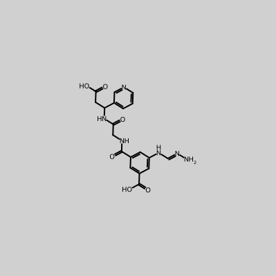 NN=CNc1cc(C(=O)O)cc(C(=O)NCC(=O)NC(CC(=O)O)c2cccnc2)c1